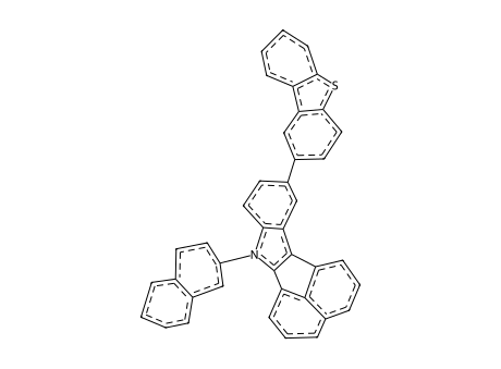 c1ccc2cc(-n3c4c(c5cc(-c6ccc7sc8ccccc8c7c6)ccc53)-c3cccc5cccc-4c35)ccc2c1